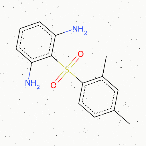 Cc1ccc(S(=O)(=O)c2c(N)cccc2N)c(C)c1